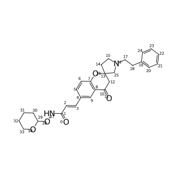 O=C(C=Cc1ccc2c(c1)C(=O)CC1(CCN(CCc3ccccc3)C1)O2)NOC1CCCCO1